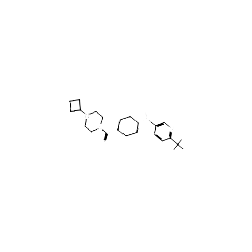 O=C([C@H]1CC[C@@H](Nc2ccc(C(F)(F)F)nc2)CC1)N1CCN(C2CCC2)CC1